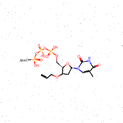 C=CCOC1C[C@H](n2cc(C)c(=O)[nH]c2=O)O[C@@H]1COP(=O)(O)OP(=O)(O)OP(=O)(O)OC